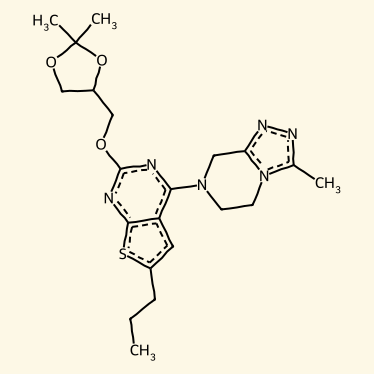 CCCc1cc2c(N3CCn4c(C)nnc4C3)nc(OCC3COC(C)(C)O3)nc2s1